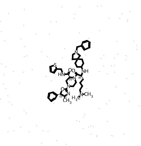 C[C@@H]1N=C(N2CCN(C(=O)[C@@H](CCCCN(C)C)NC3CCC4(CC3)CCN(Cc3ccccc3)C4)[C@H](C(=O)NCc3cccs3)C2)O[C@H]1c1ccccc1